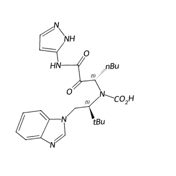 CCCC[C@@H](C(=O)C(=O)Nc1ccn[nH]1)N(C(=O)O)[C@H](Cn1cnc2ccccc21)C(C)(C)C